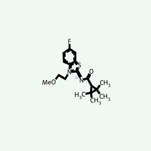 COCCn1/c(=N/C(=O)C2C(C)(C)C2(C)C)sc2cc(F)ccc21